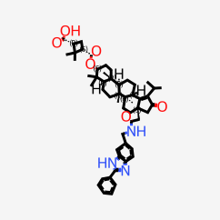 CC(C)C1=C2[C@H]3CC[C@@H]4[C@@]5(C)CC[C@H](OC(=O)[C@H]6C[C@@H](C(=O)O)C6(C)C)C(C)(C)[C@@H]5CC[C@@]4(C)[C@]3(C)CC[C@@]2(CC(=O)NCc2ccc3nc(-c4ccccc4)[nH]c3c2)CC1=O